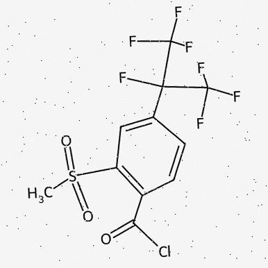 CS(=O)(=O)c1cc(C(F)(C(F)(F)F)C(F)(F)F)ccc1C(=O)Cl